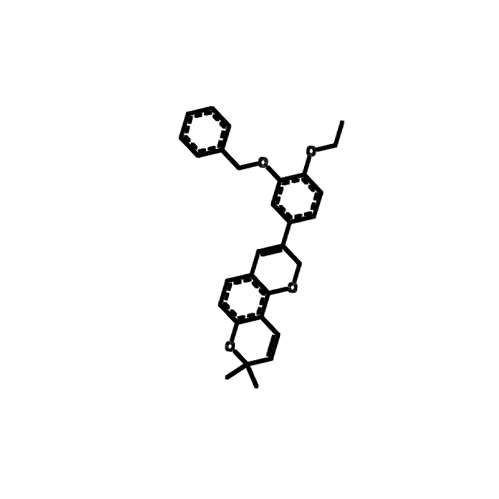 CCOc1ccc(C2=Cc3ccc4c(c3OC2)C=CC(C)(C)O4)cc1OCc1ccccc1